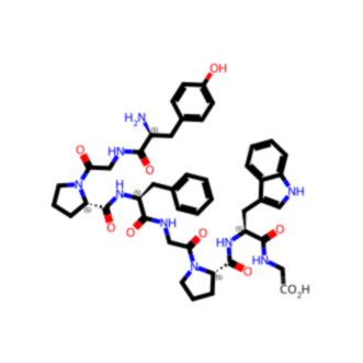 N[C@@H](Cc1ccc(O)cc1)C(=O)NCC(=O)N1CCC[C@H]1C(=O)N[C@@H](Cc1ccccc1)C(=O)NCC(=O)N1CCC[C@H]1C(=O)N[C@@H](Cc1c[nH]c2ccccc12)C(=O)NCC(=O)O